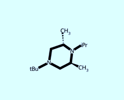 CC(C)N1[C@@H](C)CN(C(C)(C)C)C[C@@H]1C